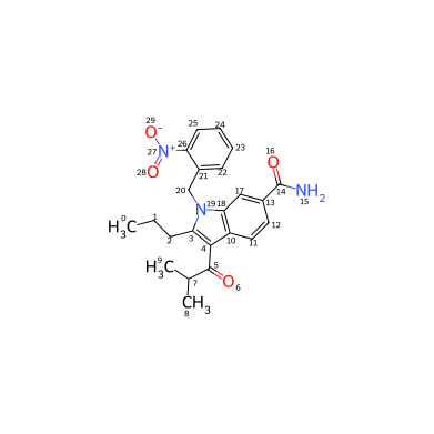 CCCc1c(C(=O)C(C)C)c2ccc(C(N)=O)cc2n1Cc1ccccc1[N+](=O)[O-]